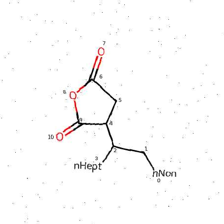 CCCCCCCCCCC(CCCCCCC)C1CC(=O)OC1=O